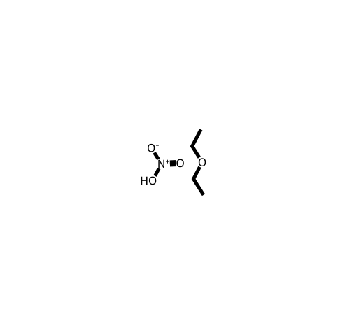 CCOCC.O=[N+]([O-])O